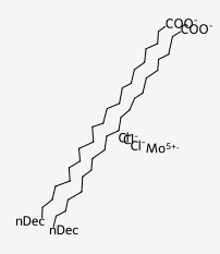 CCCCCCCCCCCCCCCCCCCCCCCCCCCCCC(=O)[O-].CCCCCCCCCCCCCCCCCCCCCCCCCCCCCC(=O)[O-].[Cl-].[Cl-].[Cl-].[Mo+5]